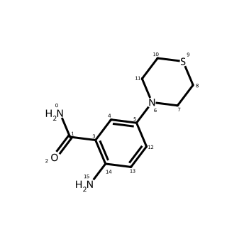 NC(=O)c1cc(N2CCSCC2)ccc1N